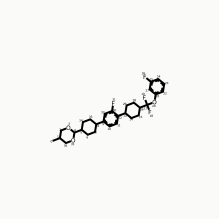 CC1COC(C2CCC(c3ccc(C4CCC(C(F)(F)Oc5cccc(F)c5)CC4)c(F)c3)CC2)OC1